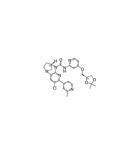 Cc1cc(-c2nc3c(cc2Cl)N2CC[C@@H](C2)N3C(=O)Nc2cc(OC[C@H]3COC(C)(C)O3)ccn2)ccn1